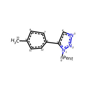 CCCCCn1nncc1-c1ccc(C)cc1